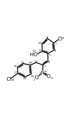 O=[N+]([O-])/C(=C/c1cc(Cl)ccc1O)Cc1ccc(Cl)cc1